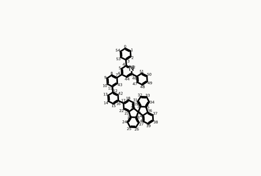 c1ccc(-c2cc(-c3cccc(-c4cccc(-c5ccc6c(c5)-c5ccccc5C65c6ccccc6-c6ccccc65)c4)c3)cc(-c3ccccc3)n2)cc1